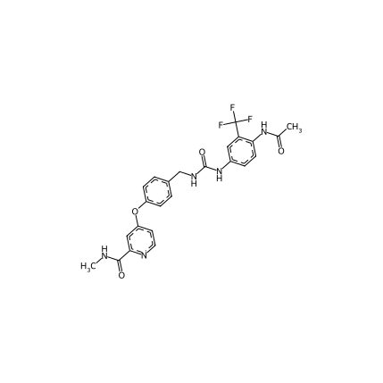 CNC(=O)c1cc(Oc2ccc(CNC(=O)Nc3ccc(NC(C)=O)c(C(F)(F)F)c3)cc2)ccn1